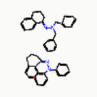 c1ccc(CN(Cc2ccccc2)/N=C2\CCCc3ccccc32)cc1.c1ccc(N(/N=C2/CCCc3ccccc32)c2ccccc2)cc1